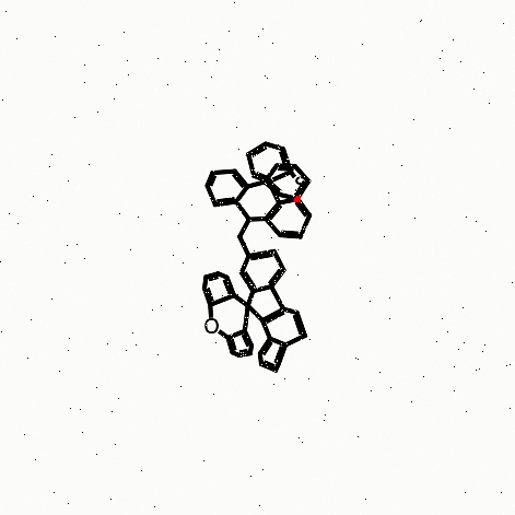 c1ccc(-c2ccccc2C(Cc2ccc3c(c2)C2(c4ccccc4Oc4ccccc42)c2c-3ccc3ccccc23)c2cccc3sc4ccccc4c23)cc1